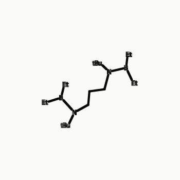 CCB(CC)N(CCCN(B(CC)CC)C(C)(C)C)C(C)(C)C